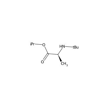 CC(C)OC(=O)[C@H](C)NC(C)(C)C